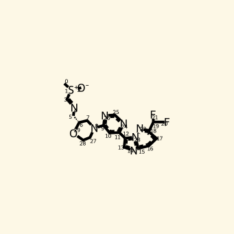 C[S+]([O-])C=NC[C@@H]1CN(c2cc(-c3cnc4ccc(C(F)F)nn34)ncn2)CCO1